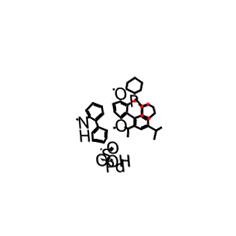 CNc1ccccc1-c1ccccc1.COc1ccc(OC)c(P(C2CCCCC2)C2CCCCC2)c1-c1c(C(C)C)cc(C(C)C)cc1C(C)C.CS(=O)(=O)O.[Pd]